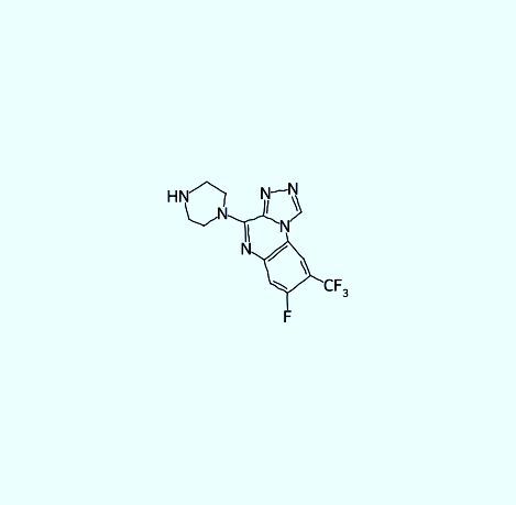 Fc1cc2nc(N3CCNCC3)c3nncn3c2cc1C(F)(F)F